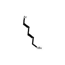 CCCCCC=CC=CC(C)=O